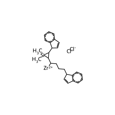 C[Si]1(C)C([CH]([Zr+2])CCCC2C=Cc3ccccc32)C1C1C=Cc2ccccc21.[Cl-].[Cl-]